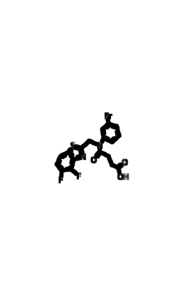 O=C(O)CCC(=O)N(Cc1nc2c(F)c(F)ccc2s1)c1cccc(Br)c1